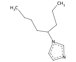 CCCCC(CCC)n1ccnc1